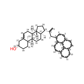 C=C(Cc1ccc2ccc3cccc4ccc1c2c34)[C@H]1CC[C@H]2[C@@H]3CC=C4C[C@@H](O)CC[C@]4(C)[C@H]3CC[C@]12C